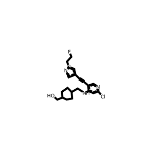 OCC1CCC(CNc2cc(Cl)ncc2C#Cc2cnn(CCF)c2)CC1